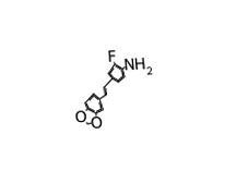 Nc1ccc(/C=C/c2ccc3c(c2)OCO3)cc1F